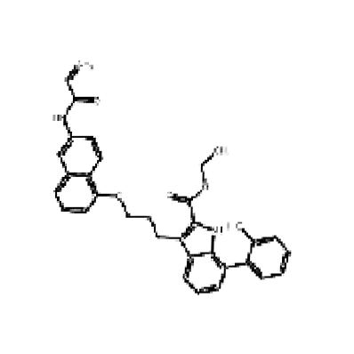 C=CC(=O)Nc1ccc2c(OCCCc3c(C(=O)OCC)[nH]c4c(-c5ccccc5C)cccc34)cccc2c1